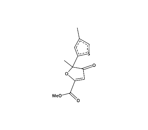 COC(=O)C1=CC(=O)C(C)(c2cc(C)cs2)O1